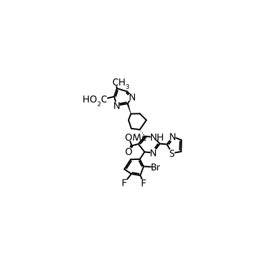 COC(=O)C1=C([C@H]2CC[C@H](c3ncc(C)c(C(=O)O)n3)CC2)NC(c2nccs2)=NC1c1ccc(F)c(F)c1Br